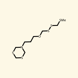 CSCSSCOCCCN1CSCSC1